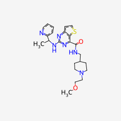 COCCN1CCC(CNC(=O)c2nc(NC(C)c3ccccn3)nc3ccsc23)CC1